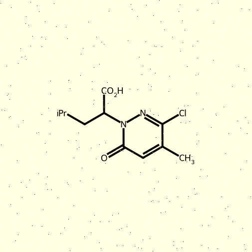 Cc1cc(=O)n(C(CC(C)C)C(=O)O)nc1Cl